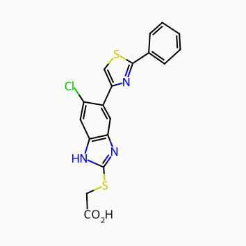 O=C(O)CSc1nc2cc(-c3csc(-c4ccccc4)n3)c(Cl)cc2[nH]1